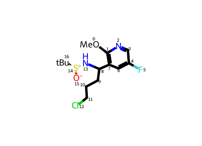 COc1ncc(F)cc1C(CCCCl)N[S@+]([O-])C(C)(C)C